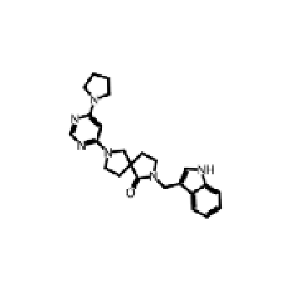 O=C1N(Cc2c[nH]c3ccccc23)CCC12CCN(c1cc(N3CCCC3)ncn1)C2